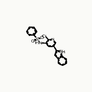 O=S(=O)(Nc1cc(-c2cc3ccccc3[nH]2)cnc1Cl)c1ccccc1